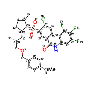 COc1ccc(COC[C@H](C)C[C@@H]2CCC(C)C2S(=O)(=O)c2cc(C(=O)Nc3cc(F)c(F)c(F)c3)ccc2Cl)cc1